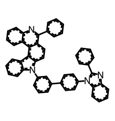 c1ccc(-c2nc3ccccc3c3c2ccc2c3c3ccccc3n2-c2cccc(-c3ccc(-n4c(-c5ccccc5)nc5ccccc54)cc3)c2)cc1